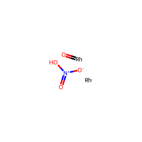 O=[N+]([O-])O.[O]=[Rh].[Rh]